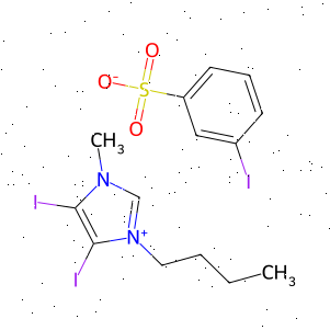 CCCC[n+]1cn(C)c(I)c1I.O=S(=O)([O-])c1cccc(I)c1